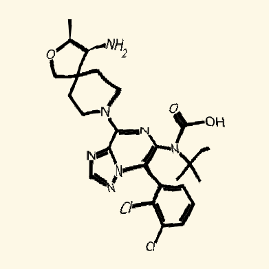 C[C@@H]1OCC2(CCN(c3nc(N(C(=O)O)C(C)(C)C)c(-c4cccc(Cl)c4Cl)n4ncnc34)CC2)[C@@H]1N